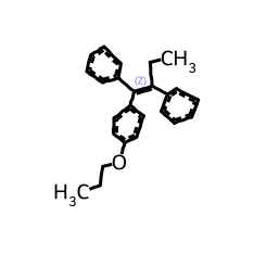 CCCOc1ccc(/C(=C(/CC)c2ccccc2)c2ccccc2)cc1